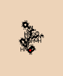 CCNC(=O)C(=O)CC[C@H](NC(=O)c1sc(-c2ccccc2)nc1C)C(O)Nc1cccn(CC(=O)NC2C3CC4CC(C3)CC2C4)c1=O